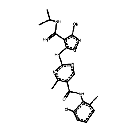 Cc1cccc(Cl)c1NC(=O)c1cnc(Nc2snc(O)c2C(=N)NC(C)C)nc1C